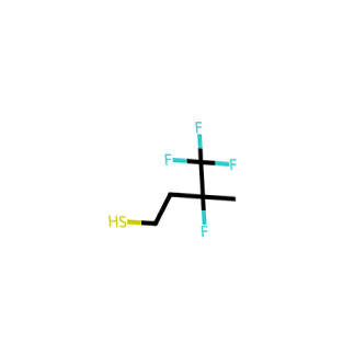 CC(F)(CCS)C(F)(F)F